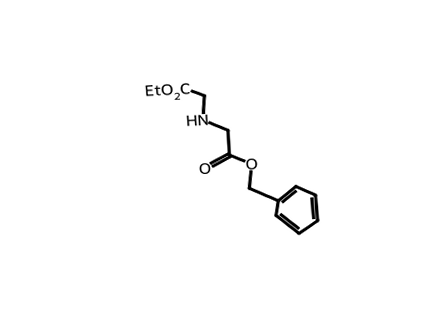 CCOC(=O)CNCC(=O)OCc1ccccc1